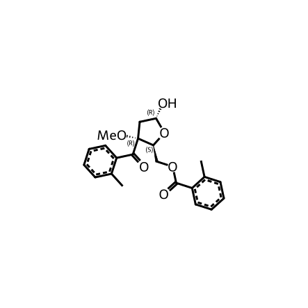 CO[C@]1(C(=O)c2ccccc2C)C[C@H](O)O[C@H]1COC(=O)c1ccccc1C